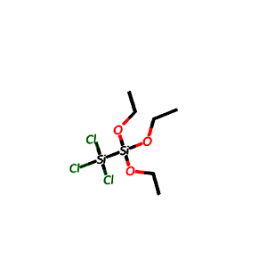 CCO[Si](OCC)(OCC)[Si](Cl)(Cl)Cl